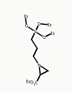 CCOC(=O)C1CN1CCC[Si](OCC)(OCC)OCC